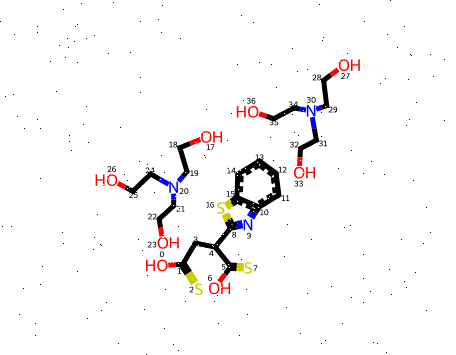 OC(=S)CC(C(O)=S)c1nc2ccccc2s1.OCCN(CCO)CCO.OCCN(CCO)CCO